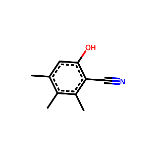 Cc1cc(O)c(C#N)c(C)c1C